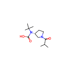 CC(C)C(=O)N1CC[C@@H](N(C(=O)O)C(C)(C)C)C1